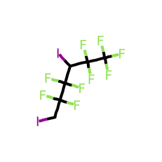 FC(F)(F)C(F)(F)C(I)C(F)(F)C(F)(F)CI